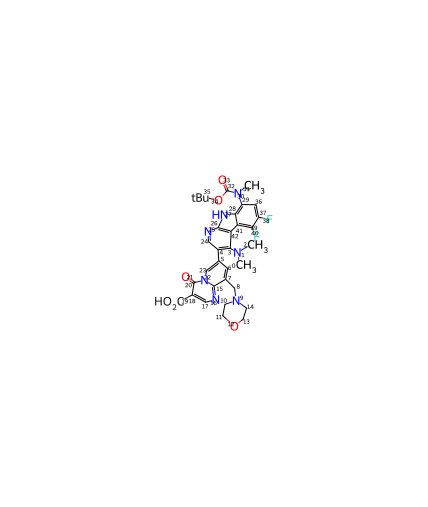 CN(C)c1c(-c2cc(CN3CCOCC3)c3ncc(C(=O)O)c(=O)n3c2)cnc2[nH]c3c(N(C)C(=O)OC(C)(C)C)cc(F)c(F)c3c12